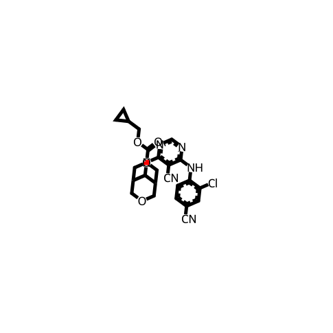 N#Cc1ccc(Nc2ncnc(OC3C4COCC3CN(C(=O)OCC3CC3)C4)c2C#N)c(Cl)c1